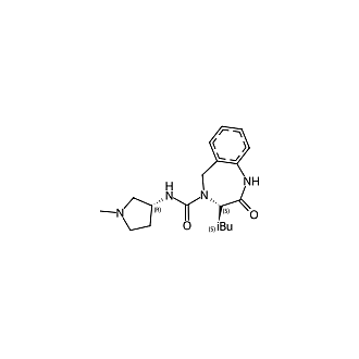 CC[C@H](C)[C@H]1C(=O)Nc2ccccc2CN1C(=O)N[C@@H]1CCN(C)C1